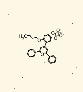 CCCCOc1ccccc1-c1cc(-c2ccccc2)[o+]c(-c2ccccc2)c1.[O-][Cl+3]([O-])([O-])[O-]